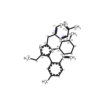 C=Nc1ccc(C)cc1-c1c(CC)nc(CC(=C/C)/N=C\C(=C)C)n1[C@@H]1CCC[C@H](C)C1